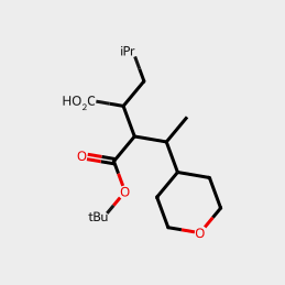 CC(C)CC(C(=O)O)C(C(=O)OC(C)(C)C)C(C)C1CCOCC1